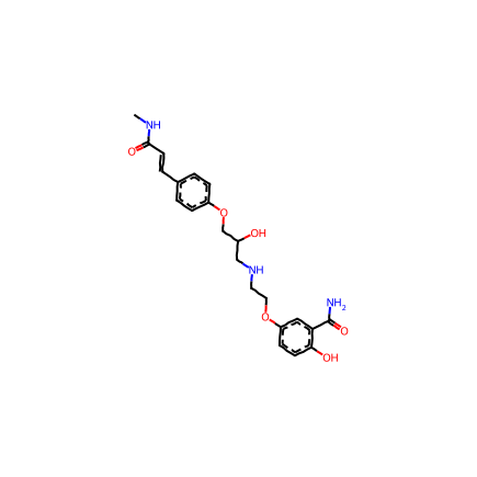 CNC(=O)C=Cc1ccc(OCC(O)CNCCOc2ccc(O)c(C(N)=O)c2)cc1